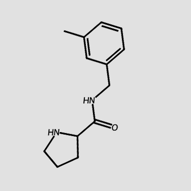 Cc1cccc(CNC(=O)C2CCCN2)c1